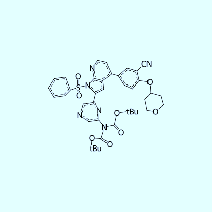 CC(C)(C)OC(=O)N(C(=O)OC(C)(C)C)c1cncc(-c2cc3c(-c4ccc(OC5CCOCC5)c(C#N)c4)ccnc3n2S(=O)(=O)c2ccccc2)n1